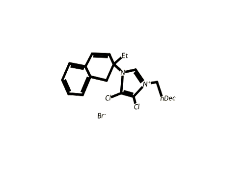 CCCCCCCCCCC[n+]1cn(C2(CC)C=Cc3ccccc3C2)c(Cl)c1Cl.[Br-]